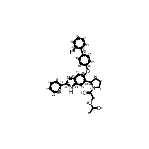 CC(=O)OCC(=O)N1CCCC1c1cc2[nH]c(-c3ccccn3)nc2cc1Oc1ccc(-c2ccccc2F)cc1